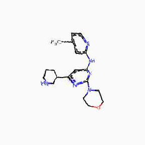 FC(F)(F)c1ccnc(Nc2cc(C3CCCNC3)nc(N3CCOCC3)n2)c1